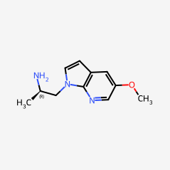 COc1cnc2c(ccn2C[C@@H](C)N)c1